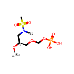 CC[C@H](C)O[C@H](COCOP(=O)(O)O)CN(CC)S(C)(=O)=O